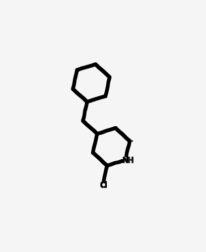 ClC1CC(CC2CCCCC2)C[CH]N1